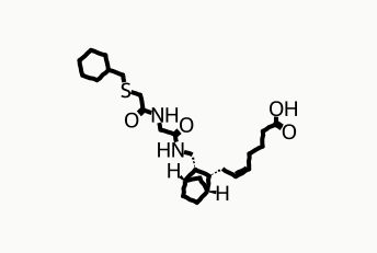 O=C(O)CCC/C=C\C[C@@H]1[C@@H]2CC[C@@H](C2)[C@@H]1CNC(=O)CNC(=O)CSCC1CCCCC1